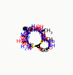 CCCC[C@@H]1NC(=O)[C@@H]2CCCN2C(=O)[C@@H]2CSCc3cc(cc(c3)OCCCCCCC(=O)NCC(=O)N[C@@H](C)C(=O)N2)CSC[C@@H](C(N)=O)NC(=O)[C@H](CCC(=O)O)NC(=O)[C@H](CCC(N)=O)NC(=O)[C@H](Cc2c[nH]c3ccccc23)NC(=O)[C@H](C(C)C)NC(=O)[C@H](CC(=O)O)NC1=O